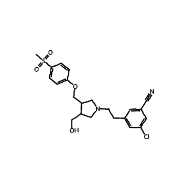 CS(=O)(=O)c1ccc(OCC2CN(CCc3cc(Cl)cc(C#N)c3)CC2CO)cc1